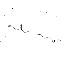 C=CCNCCCCCCOC(C)C